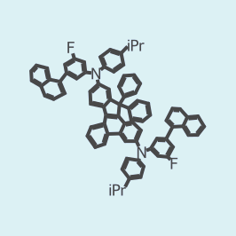 CC(C)c1ccc(N(c2cc(F)cc(-c3cccc4ccccc34)c2)c2ccc3c(c2)C(c2ccccc2)(c2ccccc2)c2c-3c3ccccc3c3cc(N(c4ccc(C(C)C)cc4)c4cc(F)cc(-c5cccc6ccccc56)c4)ccc23)cc1